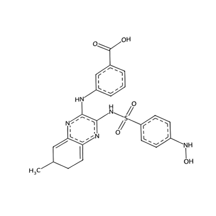 CC1C=c2nc(Nc3cccc(C(=O)O)c3)c(NS(=O)(=O)c3ccc(NO)cc3)nc2=CC1